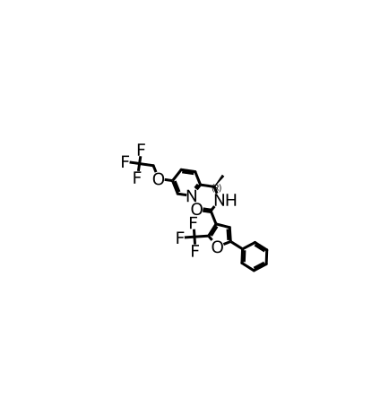 C[C@@H](NC(=O)c1cc(-c2ccccc2)oc1C(F)(F)F)c1ccc(OCC(F)(F)F)cn1